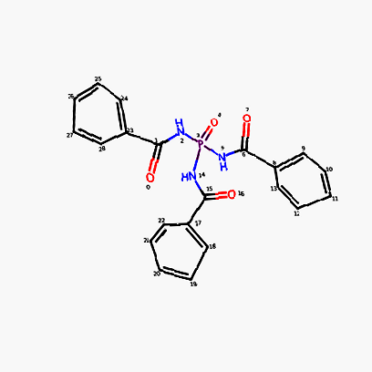 O=C(NP(=O)(NC(=O)c1ccccc1)NC(=O)c1ccccc1)c1ccccc1